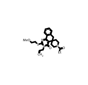 C=CCn1c(SCCOC)nc2c(c1=O)C1(CCN(C(=O)CC)CC1)Cc1ccccc1-2